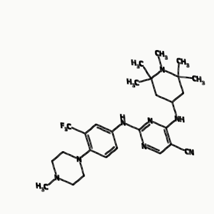 CN1CCN(c2ccc(Nc3ncc(C#N)c(NC4CC(C)(C)N(C)C(C)(C)C4)n3)cc2C(F)(F)F)CC1